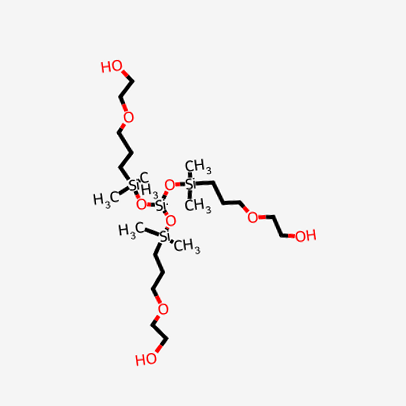 C[Si](C)(CCCOCCO)O[Si](O[Si](C)(C)CCCOCCO)O[Si](C)(C)CCCOCCO